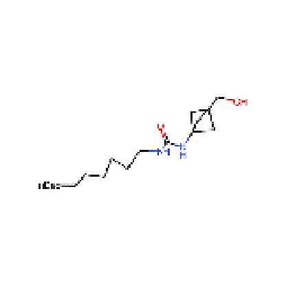 CCCCCCCCCCCCCCCCNC(=O)NC12CC(CO)(C1)C2